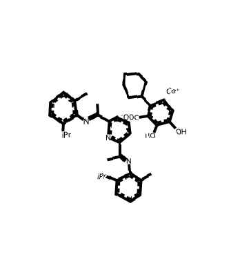 CC(=Nc1c(C)cccc1C(C)C)c1cccc(C(C)=Nc2c(C)cccc2C(C)C)n1.O=C([O-])c1c(C2CCCCC2)ccc(O)c1O.[Co+]